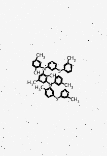 Cc1cccc(Sc2cccc(N(c3cc(C)ccc3C)c3cc(C)cc(N(c4cccc(C)c4)c4cc(Sc5cccc(C)c5)ccc4C)c3C)c2)c1